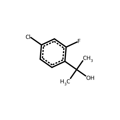 CC(C)(O)c1ccc(Cl)cc1F